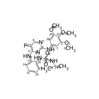 COc1cc(Nc2ncc(F)c(Nc3ccccc3NS(=O)(=O)NC(C)C)n2)cc(OC)c1OC